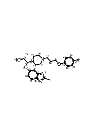 Cc1nc2cc(OC([C@@H](C)O)N3CCN(CCCOc4ccc(F)cc4)CC3)ccc2s1